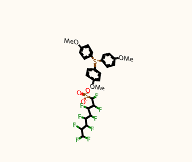 COc1ccc([S+](c2ccc(OC)cc2)c2ccc(OC)cc2)cc1.O=S(=O)([O-])C(F)C(F)C(F)C(F)C(F)C(F)C(F)C(F)F